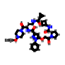 CCOC(=O)ON1CCN(C(=O)[C@H](CCNC(=O)C2CC2)NC(=O)c2cc(OCC(=O)N3CCC[C@H]3C(=O)NC3CCC3)n(-c3ccccc3)n2)CC1